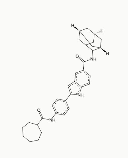 O=C(NC1C2C[C@H]3C[C@@H](C2)C[C@@H]1C3)c1ccc2[nH]c(-c3ccc(NC(=O)C4CCCCCC4)cc3)cc2c1